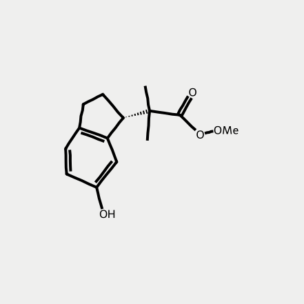 COOC(=O)C(C)(C)[C@H]1CCc2ccc(O)cc21